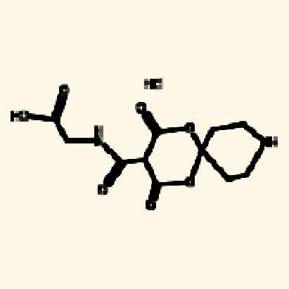 Cl.O=C(O)CNC(=O)C1C(=O)OC2(CCNCC2)OC1=O